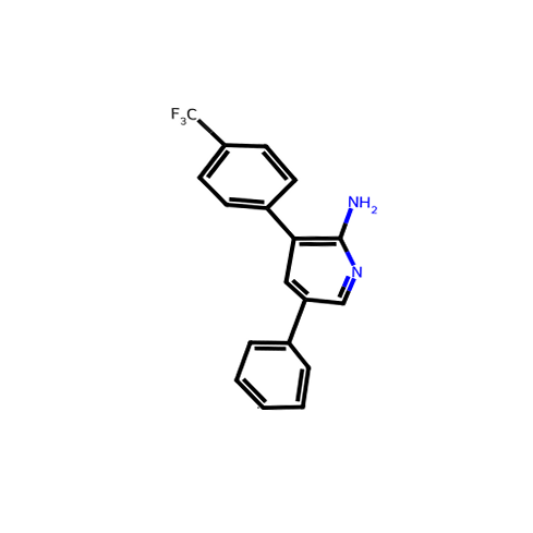 Nc1ncc(-c2cc[c]cc2)cc1-c1ccc(C(F)(F)F)cc1